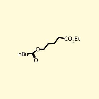 [CH2]CCCC(=O)OCCCCC(=O)OCC